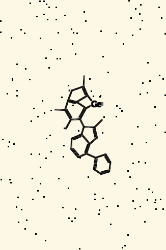 CC1=Cc2c(-c3ccccc3)cccc2C1c1c(C)c(C)c2c3[c]1[Ge][C]3=C(C)[CH]2